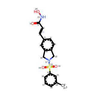 O=C(/C=C/c1ccc2c(c1)CN(S(=O)(=O)c1cccc(C(F)(F)F)c1)C2)NO